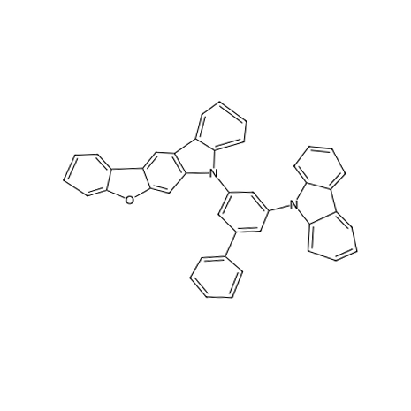 c1ccc(-c2cc(-n3c4ccccc4c4ccccc43)cc(-n3c4ccccc4c4cc5c(cc43)oc3ccccc35)c2)cc1